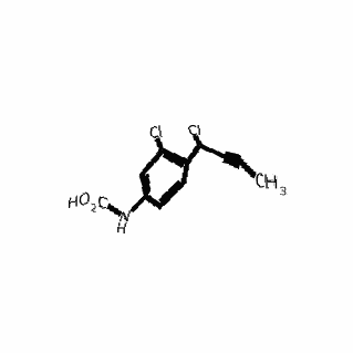 CC#CC(Cl)c1ccc(NC(=O)O)cc1Cl